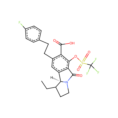 CCC1CCN2C(=O)c3c(cc(CCc4ccc(F)cc4)c(C(=O)O)c3OS(=O)(=O)C(F)(F)F)[C@H]12